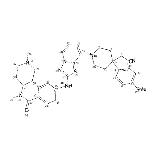 CSc1ccc(C2(CC#N)CCN(c3cccn4nc(Nc5ccc(C(=O)N(C)C6CCN(C)CC6)cc5)nc34)CC2)cc1